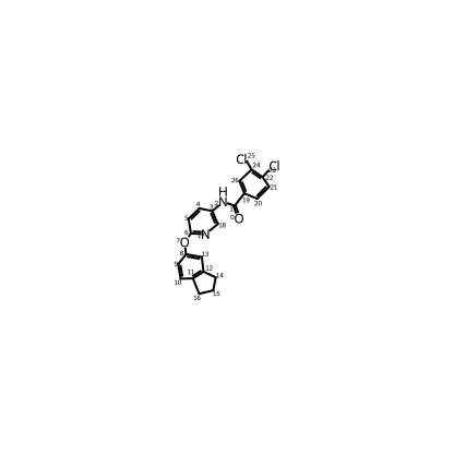 O=C(Nc1ccc(Oc2ccc3c(c2)CCC3)nc1)c1ccc(Cl)c(Cl)c1